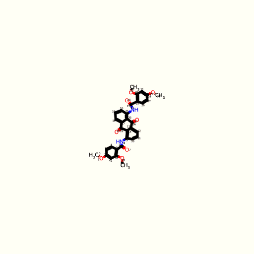 COc1ccc(C(=O)Nc2cccc3c2C(=O)c2cccc(NC(=O)c4ccc(OC)cc4OC)c2C3=O)c(OC)c1